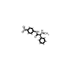 CNC(C(=O)Nc1ccc([N+](=O)[O-])cc1)c1ccccc1